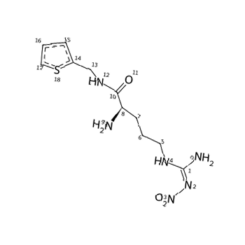 N/C(=N/[N+](=O)[O-])NCCC[C@@H](N)C(=O)NCc1cccs1